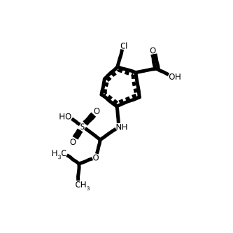 CC(C)OC(Nc1ccc(Cl)c(C(=O)O)c1)S(=O)(=O)O